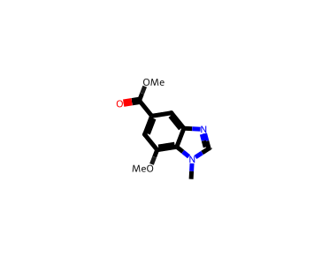 COC(=O)c1cc(OC)c2c(c1)n[c]n2C